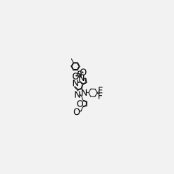 Cc1ccc(S(=O)(=O)n2ccc3c2ncc2nc(-c4ccc(C=O)o4)n(C4CCC(F)(F)CC4)c23)cc1